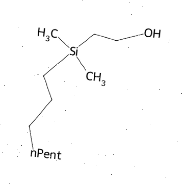 CCCCCCCC[Si](C)(C)CCO